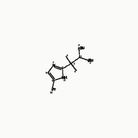 CCCCC(C(C)CC)C(C)(C)c1ncc(C(C)C)[nH]1